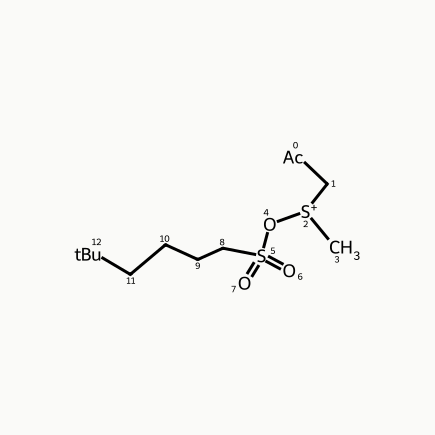 CC(=O)C[S+](C)OS(=O)(=O)CCCCC(C)(C)C